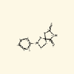 O=C1CC2(CCN(c3ccccn3)C2)C(=O)N1